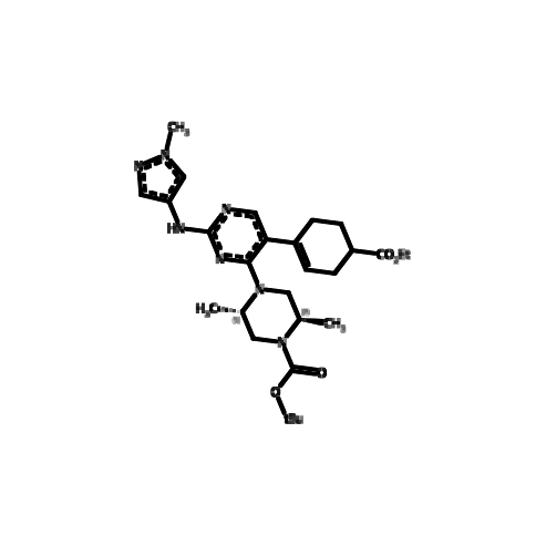 CCOC(=O)C1CC=C(c2cnc(Nc3cnn(C)c3)nc2N2C[C@@H](C)N(C(=O)OC(C)(C)C)C[C@@H]2C)CC1